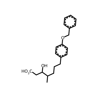 CC(CCCc1ccc(OCc2ccccc2)cc1)C(O)CC(=O)O